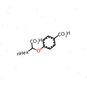 CCCCCCC(Oc1ccc(C(=O)O)cc1)C(=O)O